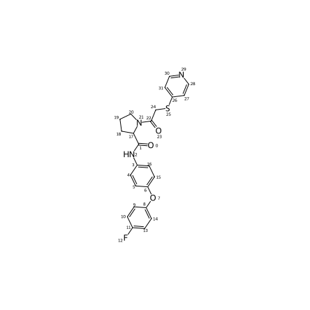 O=C(Nc1ccc(Oc2ccc(F)cc2)cc1)C1CCCN1C(=O)CSc1ccncc1